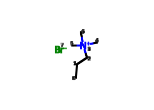 CCC[N+](C)(C)C.[Br-]